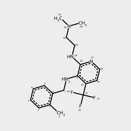 Cc1ccccc1CNc1c(C(F)(F)F)ccnc1NCCN(C)C